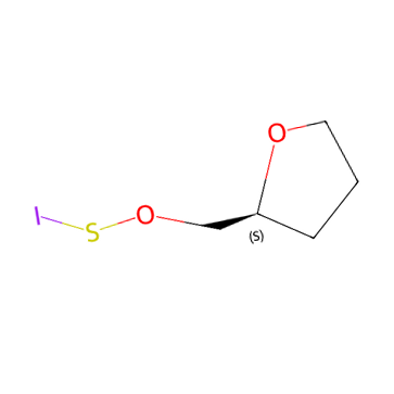 ISOC[C@@H]1CCCO1